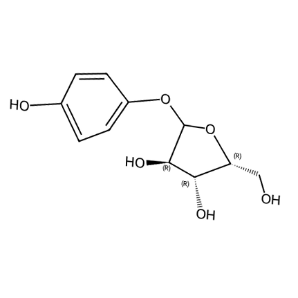 OC[C@H]1OC(Oc2ccc(O)cc2)[C@H](O)[C@H]1O